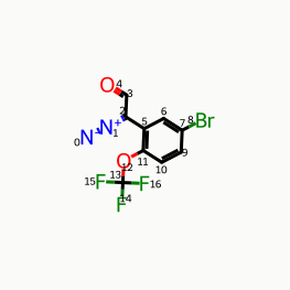 [N-]=[N+]=C(C=O)c1cc(Br)ccc1OC(F)(F)F